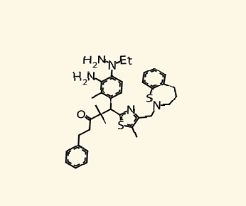 CCN(N)c1ccc(C(c2nc(CN3CCCc4ccccc4S3)c(C)s2)C(C)(C)C(=O)CCc2ccccc2)c(C)c1N